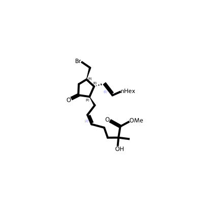 CCCCCC/C=C/[C@H]1[C@H](CBr)CC(=O)[C@@H]1C/C=C\CCC(C)(O)C(=O)OC